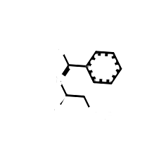 CCOC(=O)C[C@H](/N=C(/C)c1ccccc1)C(F)(F)F